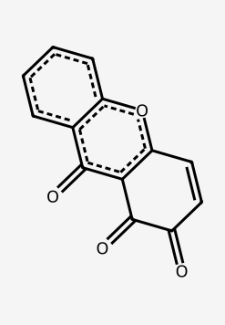 O=C1C=Cc2oc3ccccc3c(=O)c2C1=O